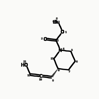 CC(C)(C)OC(=O)N1CCC[C@H](C=C=CO)C1